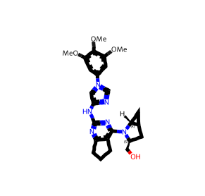 COc1cc(-n2cnc(Nc3nc4c(c(N5[C@H](CO)CC6C[C@H]65)n3)CCC4)c2)cc(OC)c1OC